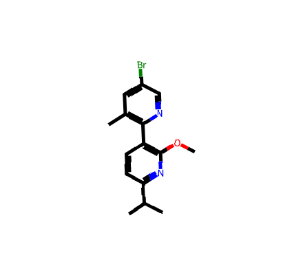 COc1nc(C(C)C)ccc1-c1ncc(Br)cc1C